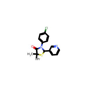 CCCC1(C)SC(c2cccnc2)N(c2ccc(Cl)cc2)C1=O